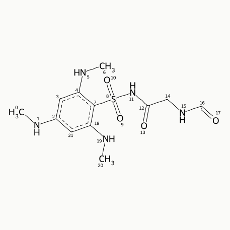 CNc1cc(NC)c(S(=O)(=O)NC(=O)CN[C]=O)c(NC)c1